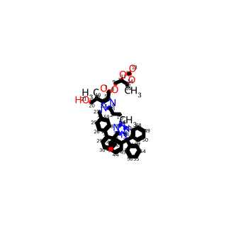 CCCc1nc(C(=O)OCC2OC(=O)OC2C)c(C(C)CO)n1Cc1ccc(-c2ccccc2-c2nnnn2C(c2ccccc2)(c2ccccc2)c2ccccc2)cc1